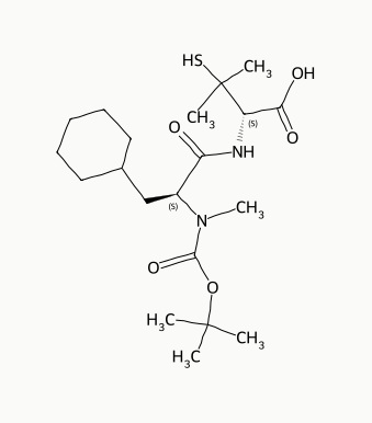 CN(C(=O)OC(C)(C)C)[C@@H](CC1CCCCC1)C(=O)N[C@@H](C(=O)O)C(C)(C)S